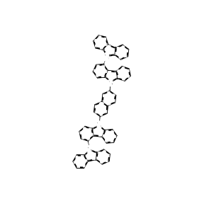 c1ccc2c(c1)c1ccccc1n2-c1cccc2c1c1ccccc1n2-c1ccc2cc(-n3c4ccccc4c4c(-n5c6ccccc6c6ccccc65)cccc43)ccc2c1